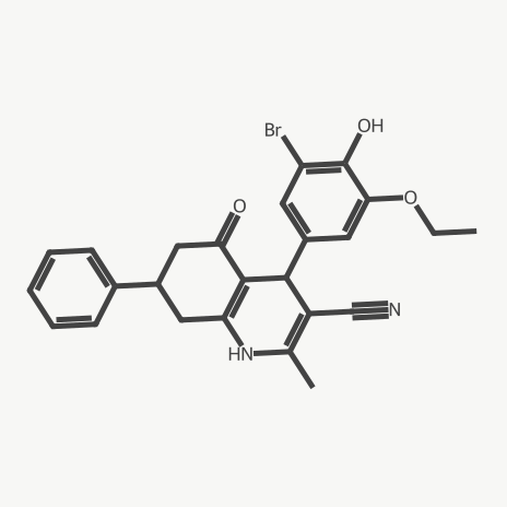 CCOc1cc(C2C(C#N)=C(C)NC3=C2C(=O)CC(c2ccccc2)C3)cc(Br)c1O